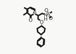 Cc1ccn(C(CNS(C)(=O)=O)CO[C@H]2CC[C@@H](c3ccccc3)CC2)c(=O)c1C